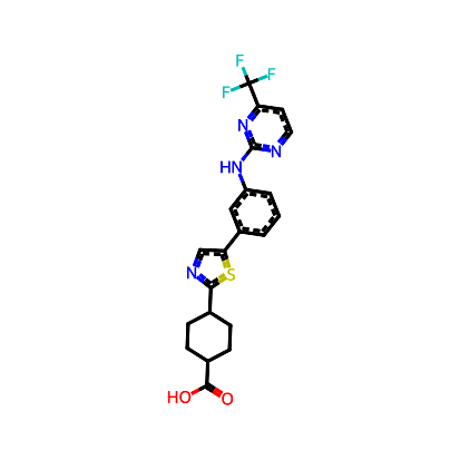 O=C(O)C1CCC(c2ncc(-c3cccc(Nc4nccc(C(F)(F)F)n4)c3)s2)CC1